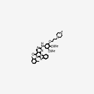 COc1cc(Nc2ncc3c(=O)n(-c4c(C)cccc4C)c4nc5ccccc5n4c3n2)cc(OCCCN2CCN(C)CC2)c1OC